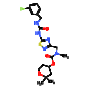 CN(Cc1nsc(NC(=O)NCc2cccc(F)c2)n1)C(=O)OC1CCOC(C)(C)C1